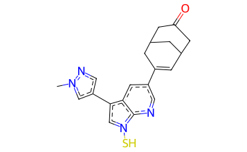 Cn1cc(-c2cn(S)c3ncc(C4=CC5CC(=O)CC(C4)C5)cc23)cn1